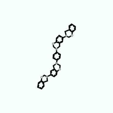 c1ccc2c(c1)CN(c1ccc3c(c1)CN(c1ccc(N4COc5ccc(N6COc7ccccc7C6)cc5C4)cc1)CO3)CO2